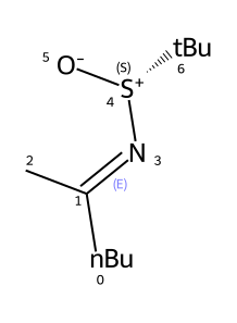 CCCC/C(C)=N/[S@+]([O-])C(C)(C)C